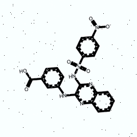 O=C(O)c1cccc(Nc2nc3ccccc3nc2NS(=O)(=O)c2ccc([N+](=O)[O-])cc2)c1